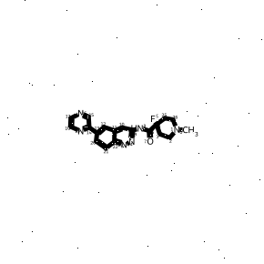 CN1CCC(F)(C(=O)Nc2cc3cc(-c4cnccn4)ccc3nn2)CC1